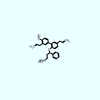 C=CCc1ccc(OC(CCNC)c2ccccc2)c(-c2ccc(OCC)c(CC=C)c2)c1.Cl